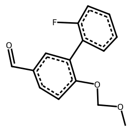 COCOc1ccc(C=O)cc1-c1ccccc1F